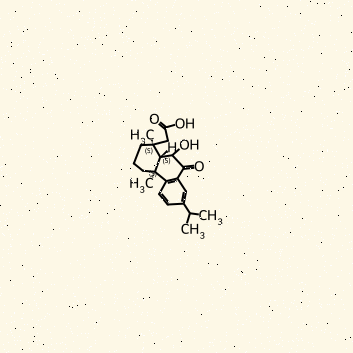 CC(C)c1ccc2c(c1)C(=O)C(O)[C@H]1[C@](C)(CC(=O)O)CCC[C@]21C